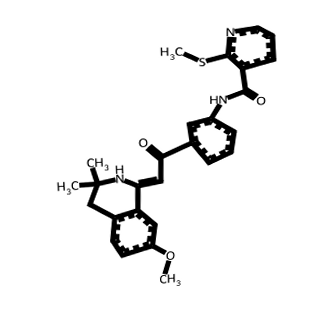 COc1ccc2c(c1)C(=CC(=O)c1cccc(NC(=O)c3cccnc3SC)c1)NC(C)(C)C2